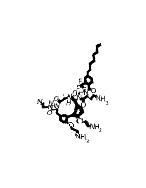 CCCCCCCCc1ccc(C(=O)N[C@@H](CCN)C(=O)N(C)[C@@H]2C(=O)N[C@@H](C)C(=O)N[C@H](C(=O)NCC#N)Cc3ccc(OCCN)c(c3)-c3cc2ccc3OCCN)c(C(F)(F)F)c1